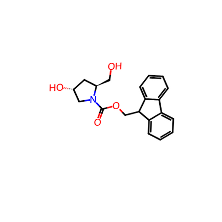 O=C(OCC1c2ccccc2-c2ccccc21)N1C[C@H](O)C[C@H]1CO